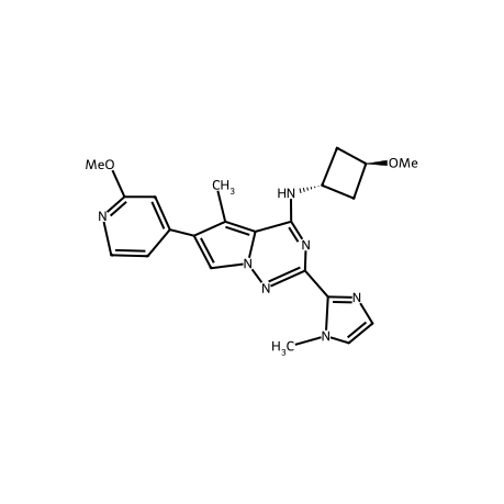 COc1cc(-c2cn3nc(-c4nccn4C)nc(N[C@H]4C[C@H](OC)C4)c3c2C)ccn1